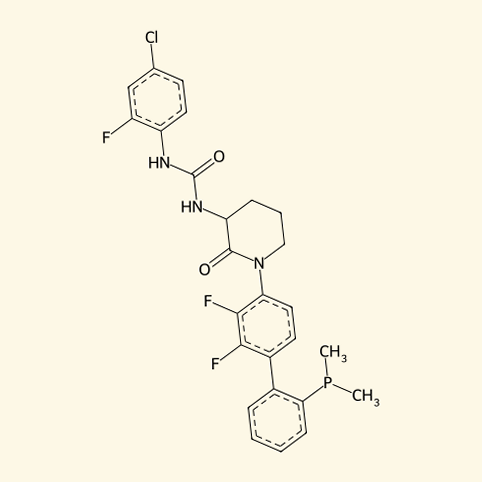 CP(C)c1ccccc1-c1ccc(N2CCCC(NC(=O)Nc3ccc(Cl)cc3F)C2=O)c(F)c1F